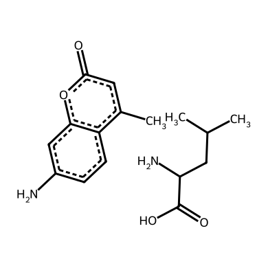 CC(C)CC(N)C(=O)O.Cc1cc(=O)oc2cc(N)ccc12